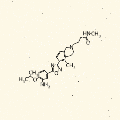 CNC(=O)CCCN1CCc2c(ccc(-c3noc(-c4ccc(OC(C)C)c(N)c4)n3)c2C)C1